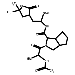 CNC(CC1CC(C)(C)NC1=O)NC(=O)C1C2CCCC2CN1C(=O)C(NC(=O)C(F)(F)F)C(C)(C)C